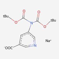 CC(C)(C)OC(=O)N(C(=O)OC(C)(C)C)c1cncc(C(=O)[O-])c1.[Na+]